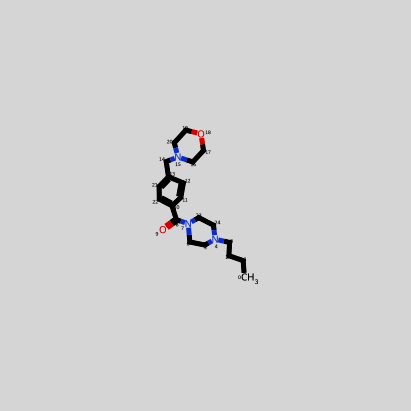 CCCCN1CCN(C(=O)c2ccc(CN3CCOCC3)cc2)CC1